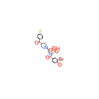 COc1ccc(C(=O)N(CCN2CCC(C(=O)c3ccc(F)cc3)CC2)CS(=O)(=O)O)cc1Br